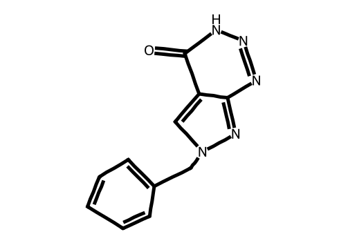 O=c1[nH]nnc2nn(Cc3ccccc3)cc12